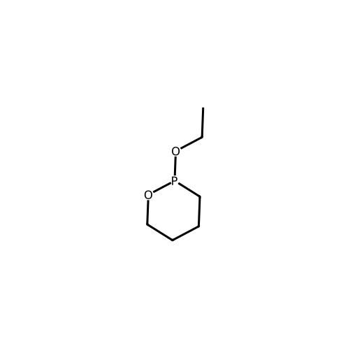 CCOP1CCCCO1